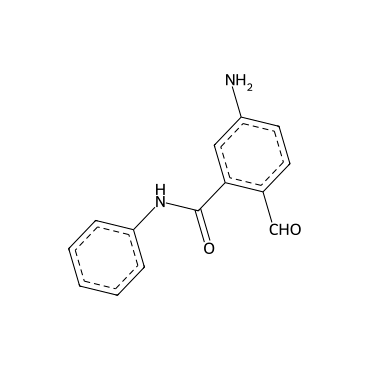 Nc1ccc(C=O)c(C(=O)Nc2ccccc2)c1